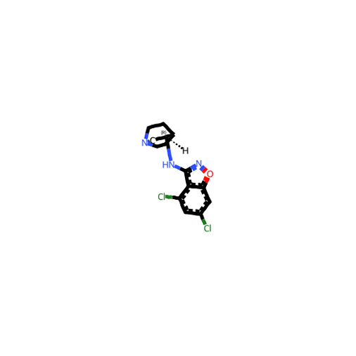 Clc1cc(Cl)c2c(N[C@H]3CN4CCC3CC4)noc2c1